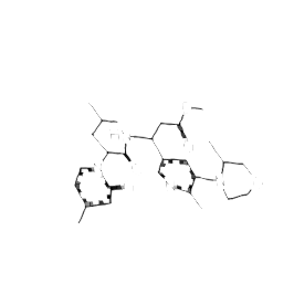 COC(=O)CC(NC(=O)C(CC(C)C)n1ccc(C)cc1=O)c1cnc(C)c(N2CCOCC2C)c1